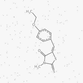 CCOc1ccc(/C=C2/SC(=S)N(C)C2=O)cc1